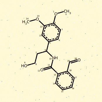 COc1ccc(C(CCO)NC(=O)c2ccccc2C=O)cc1OC